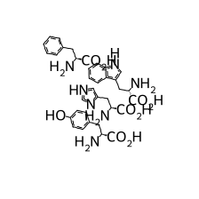 N[C@@H](Cc1c[nH]c2ccccc12)C(=O)O.N[C@@H](Cc1c[nH]cn1)C(=O)O.N[C@@H](Cc1ccc(O)cc1)C(=O)O.N[C@@H](Cc1ccccc1)C(=O)O